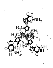 C=C1[C@H](CO)[C@@H]([Si](C)(C)OC[C@H]2C(=C)[C@@H](n3cnc4c(=O)[nH]c(N)nc43)C[C@@H]2[Si](C)(C)O[Si](C)(C)[C@H]2C[C@H](n3cnc4c(=O)[nH]c(N)nc43)C(=C)[C@@H]2CO)C[C@@H]1n1cnc2c(=O)[nH]c(N)nc21